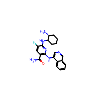 NC(=O)c1cc(F)c(N[C@@H]2CCCC[C@@H]2N)nc1Nc1cncc2ccccc12